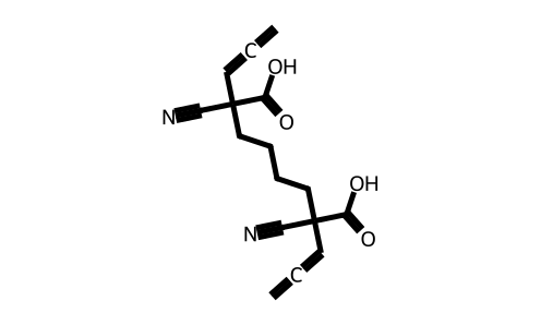 C=C=CC(C#N)(CCCCC(C#N)(C=C=C)C(=O)O)C(=O)O